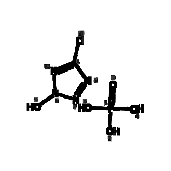 O=P(O)(O)O.On1nnc(Cl)n1